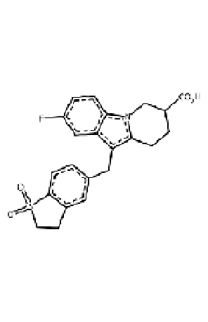 O=C(O)C1CCc2c(Cc3ccc4c(c3)CCS4(=O)=O)c3cc(F)ccc3n2C1